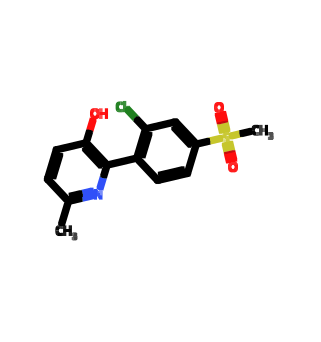 Cc1ccc(O)c(-c2ccc(S(C)(=O)=O)cc2Cl)n1